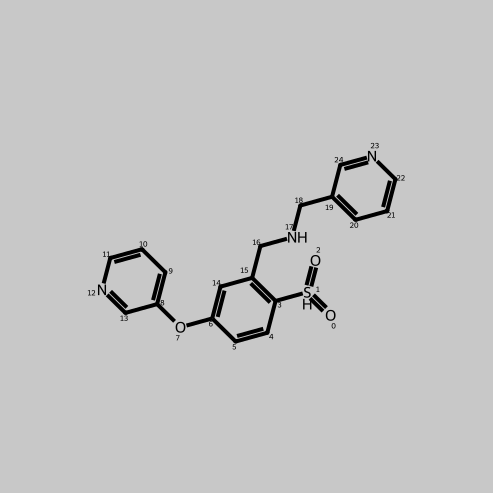 O=[SH](=O)c1ccc(Oc2cccnc2)cc1CNCc1cccnc1